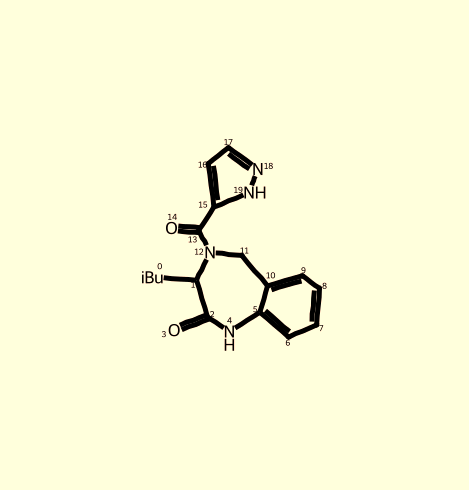 CCC(C)C1C(=O)Nc2ccccc2CN1C(=O)c1ccn[nH]1